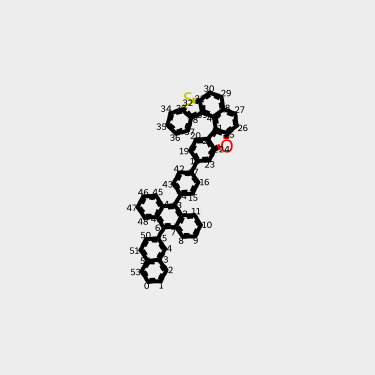 c1ccc2cc(-c3c4ccccc4c(-c4ccc(-c5ccc6c(c5)oc5ccc7ccc8sc9ccccc9c8c7c56)cc4)c4ccccc34)ccc2c1